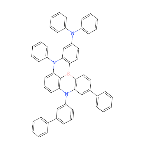 c1cc(-c2ccccc2)cc(N2c3cc(-c4ccccc4)ccc3B3c4ccc(N(c5ccccc5)c5ccccc5)cc4N(c4ccccc4)c4cccc2c43)c#1